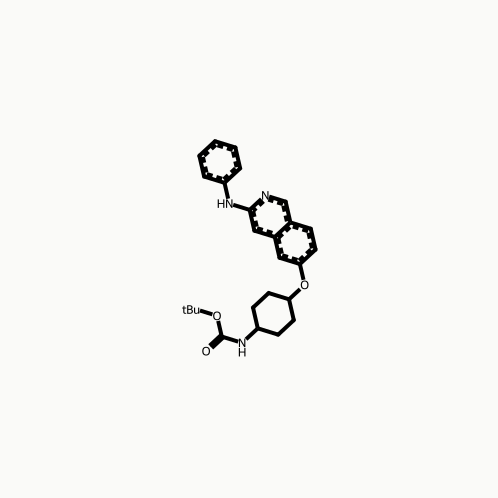 CC(C)(C)OC(=O)NC1CCC(Oc2ccc3cnc(Nc4ccccc4)cc3c2)CC1